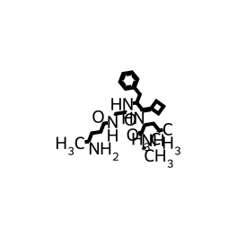 CCNC(=O)C(CC(C)C)NC(=C1CCC1)C(Cc1ccccc1)NC(=O)CNC(=O)CCC(C)N